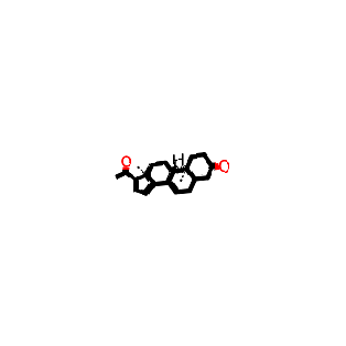 CC(=O)C1=CC=C2C3=CCC4CC(=O)CC[C@]4(C)[C@H]3CC[C@]12C